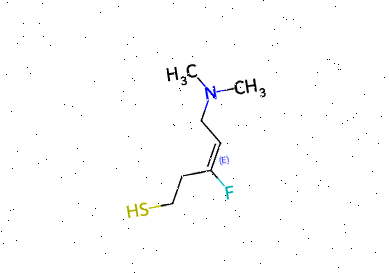 CN(C)C/C=C(/F)CCS